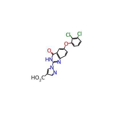 O=C(O)c1cnn(-c2nc3ccc(Oc4cccc(Cl)c4Cl)cc3c(=O)[nH]2)c1